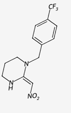 O=[N+]([O-])C=C1NCCCN1Cc1ccc(C(F)(F)F)cc1